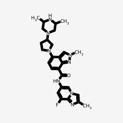 Cc1cn2cc(NC(=O)c3ccc(N4CCC(N5CC(C)NC(C)C5)C4)c4cn(C)nc34)cc(F)c2n1